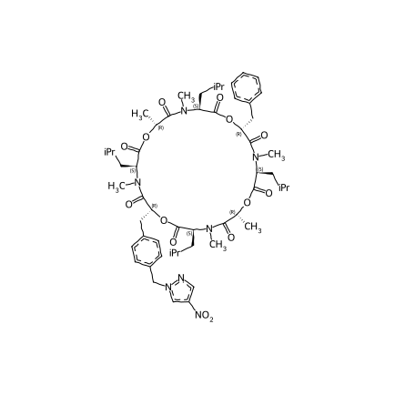 CC(C)C[C@H]1C(=O)O[C@H](Cc2ccc(Cn3cc([N+](=O)[O-])cn3)cc2)C(=O)N(C)[C@@H](CC(C)C)C(=O)O[C@H](C)C(=O)N(C)[C@@H](CC(C)C)C(=O)O[C@H](Cc2ccccc2)C(=O)N(C)[C@@H](CC(C)C)C(=O)O[C@H](C)C(=O)N1C